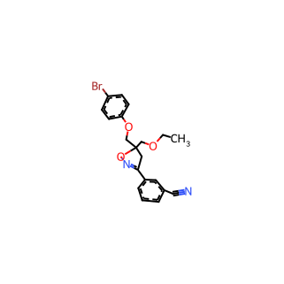 CCOCC1(COc2ccc(Br)cc2)CC(c2cccc(C#N)c2)=NO1